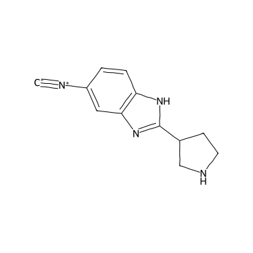 [C-]#[N+]c1ccc2[nH]c(C3CCNC3)nc2c1